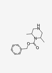 CC1CNCC(C)N1C(=O)OCc1ccccc1